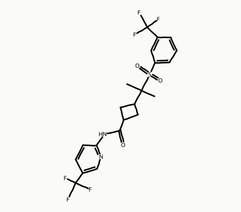 CC(C)(C1CC(C(=O)Nc2ccc(C(F)(F)F)cn2)C1)S(=O)(=O)c1cccc(C(F)(F)F)c1